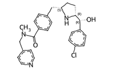 CN(Cc1ccncc1)C(=O)c1ccc(C[C@@H]2CC[C@H]([C@H](O)c3ccc(Cl)cc3)N2)cc1